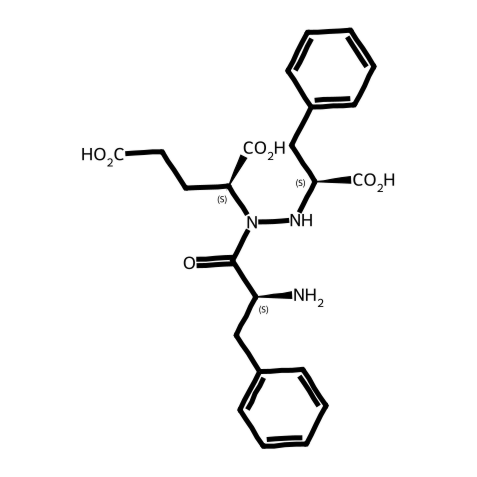 N[C@@H](Cc1ccccc1)C(=O)N(N[C@@H](Cc1ccccc1)C(=O)O)[C@@H](CCC(=O)O)C(=O)O